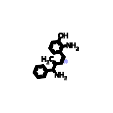 C=C(/C=C\c1cccc(O)c1N)C(N)c1ccccc1